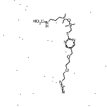 C[Si](C)(CCCNC(=O)O)O[Si](C)(C)CSc1ncc(COCCOCCN=[N+]=[N-])cn1